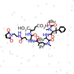 C/C(=C\[C@H](C(C)C)N(C)C(=O)C(NC(=O)[C@@H](N(C)C(=O)OC(C)(C)C)C(C)(C)c1ccccc1)C(C)(C)C)C(=O)N[C@H](CCC(=O)NCCN1C(=O)C=CC1=O)C(=O)N[C@H](CCC(=O)O)C(=O)O